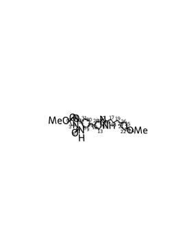 COC(=O)Cn1c(=O)[nH]c2cc(-c3ccc4[nH]c(CCCc5ccc(OC)cc5)nc4c3)ccc2c1=O